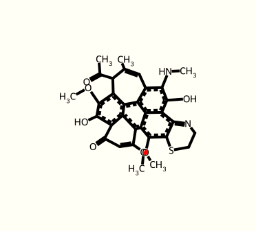 CNc1c(O)c2c3c(c(OC)c4c5c6c(c(O)c(OC)c7c6c(c1C=C(C)C7C(C)=O)c42)C(=O)C=C5OC)SCCN=3